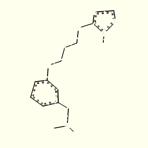 CN(C)Cc1cccc(OCCCNc2ncnn2C)c1